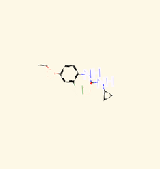 CCOc1ccc(NC(=O)NC2CC2)c(Cl)c1